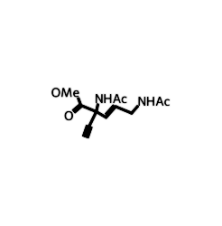 C#CC(C=CCNC(C)=O)(NC(C)=O)C(=O)OC